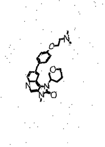 CN(C)CCOc1ccc(-c2ccc3ncc4c(c3c2)n(C2CCCOC2)c(=O)n4C)cc1